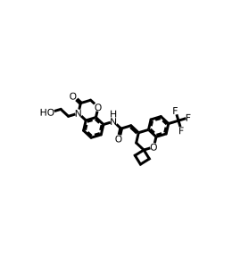 O=C(/C=C1\CC2(CCC2)Oc2cc(C(F)(F)F)ccc21)Nc1cccc2c1OCC(=O)N2CCO